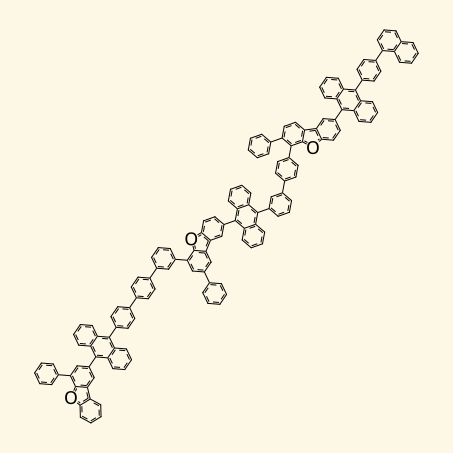 c1ccc(-c2cc(-c3cccc(-c4ccc(-c5ccc(-c6c7ccccc7c(-c7cc(-c8ccccc8)c8oc9ccccc9c8c7)c7ccccc67)cc5)cc4)c3)c3oc4ccc(-c5c6ccccc6c(-c6cccc(-c7ccc(-c8c(-c9ccccc9)ccc9c8oc8ccc(-c%10c%11ccccc%11c(-c%11ccc(-c%12cccc%13ccccc%12%13)cc%11)c%11ccccc%10%11)cc89)cc7)c6)c6ccccc56)cc4c3c2)cc1